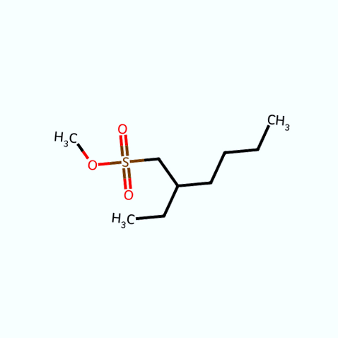 CCCCC(CC)CS(=O)(=O)OC